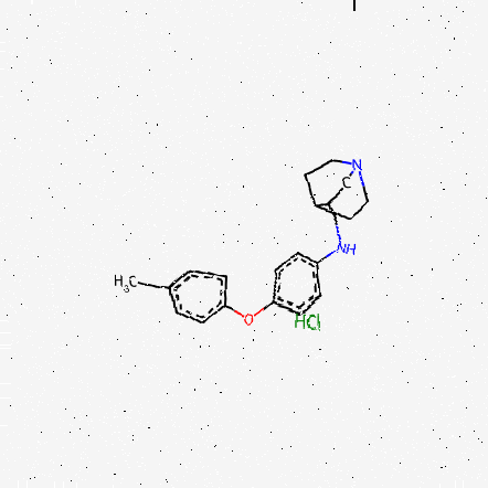 Cc1ccc(Oc2ccc(NC3CN4CCC3CC4)cc2)cc1.Cl